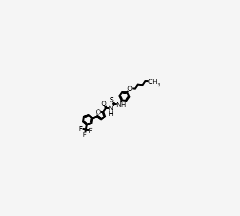 CCCCCOc1ccc(NC(=S)NC(=O)c2ccc(-c3cccc(C(F)(F)F)c3)o2)cc1